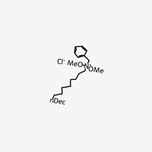 CCCCCCCCCCCCCCCCCC[N+](Cc1ccccc1)(OC)OC.[Cl-]